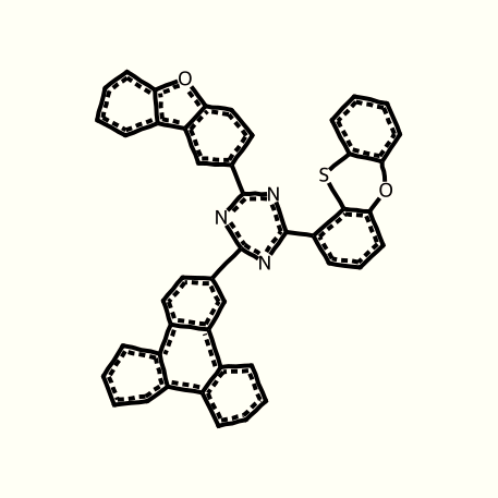 c1ccc2c(c1)Oc1cccc(-c3nc(-c4ccc5oc6ccccc6c5c4)nc(-c4ccc5c6ccccc6c6ccccc6c5c4)n3)c1S2